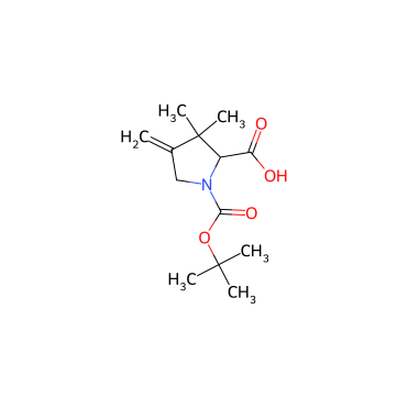 C=C1CN(C(=O)OC(C)(C)C)C(C(=O)O)C1(C)C